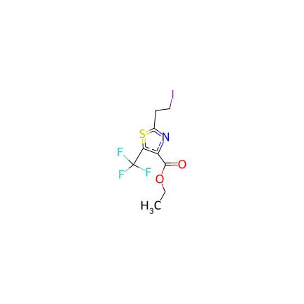 CCOC(=O)c1nc(CCI)sc1C(F)(F)F